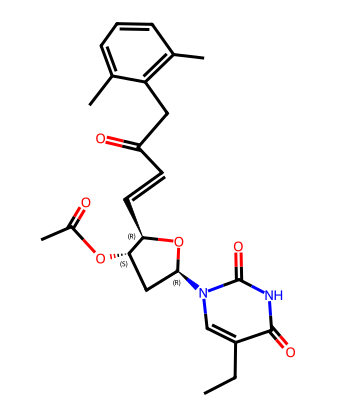 CCc1cn([C@H]2C[C@H](OC(C)=O)[C@@H](C=CC(=O)Cc3c(C)cccc3C)O2)c(=O)[nH]c1=O